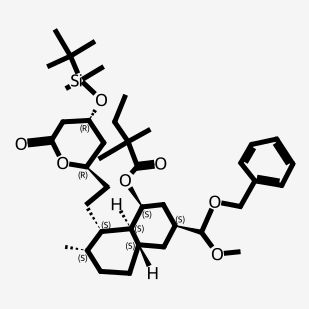 CCC(C)(C)C(=O)O[C@H]1C[C@@H](C(OC)OCc2ccccc2)C[C@@H]2CC[C@H](C)[C@H](CC[C@@H]3C[C@@H](O[Si](C)(C)C(C)(C)C)CC(=O)O3)[C@H]21